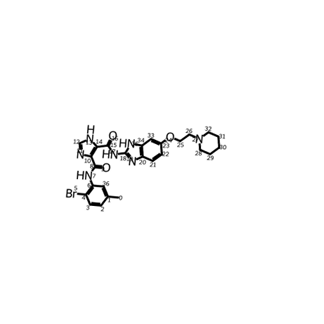 Cc1ccc(Br)c(NC(=O)c2nc[nH]c2C(=O)Nc2nc3ccc(OCCN4CCCCC4)cc3[nH]2)c1